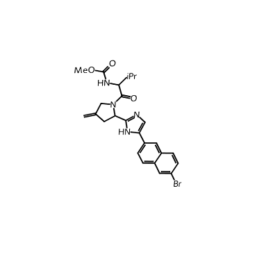 C=C1CC(c2ncc(-c3ccc4cc(Br)ccc4c3)[nH]2)N(C(=O)C(NC(=O)OC)C(C)C)C1